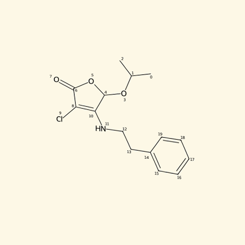 CC(C)OC1OC(=O)C(Cl)=C1NCCc1ccccc1